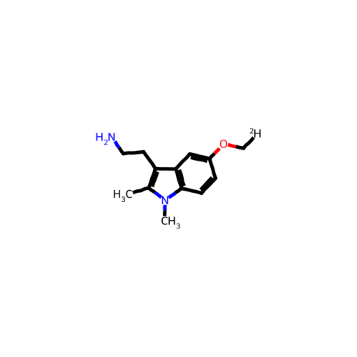 [2H]COc1ccc2c(c1)c(CCN)c(C)n2C